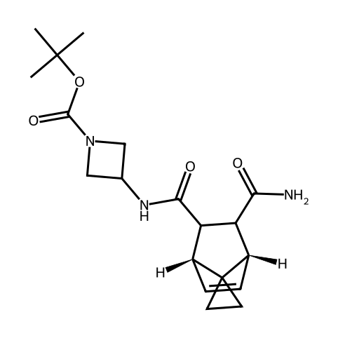 CC(C)(C)OC(=O)N1CC(NC(=O)C2C(C(N)=O)[C@@H]3C=C[C@H]2C32CC2)C1